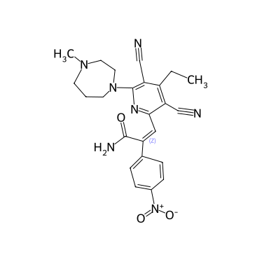 CCc1c(C#N)c(/C=C(\C(N)=O)c2ccc([N+](=O)[O-])cc2)nc(N2CCCN(C)CC2)c1C#N